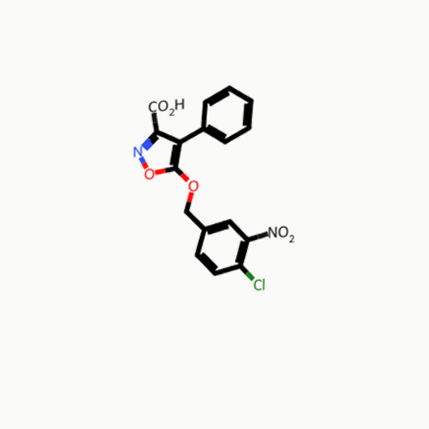 O=C(O)c1noc(OCc2ccc(Cl)c([N+](=O)[O-])c2)c1-c1ccccc1